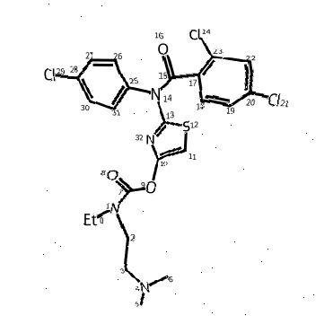 CCN(CCN(C)C)C(=O)Oc1csc(N(C(=O)c2ccc(Cl)cc2Cl)c2ccc(Cl)cc2)n1